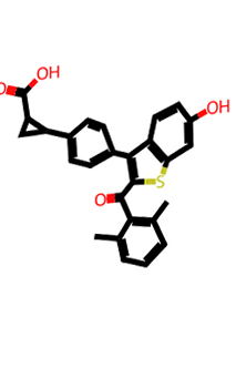 Cc1cccc(C)c1C(=O)c1sc2cc(O)ccc2c1-c1ccc(C2CC2C(=O)O)cc1